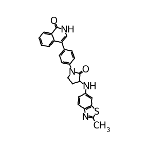 Cc1nc2ccc(NC3CCN(c4ccc(-c5c[nH]c(=O)c6ccccc56)cc4)C3=O)cc2s1